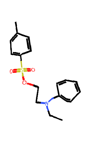 CCN(CCOS(=O)(=O)c1ccc(C)cc1)c1ccccc1